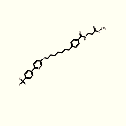 COC(=O)CCNC(=O)c1ccc(CCCCCCCOc2ccc(-c3ccc(C(F)(F)F)cc3)nc2)cc1